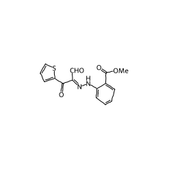 COC(=O)c1ccccc1N/N=C(\C=O)C(=O)c1cccs1